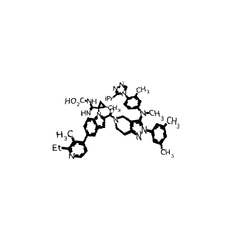 CCc1nccc(-c2ccc3c(c2)cc(C(=O)N2CCc4nn(-c5cc(C)cc(C)c5)c(N(C)c5ccc(-n6cnnc6C(C)C)c(C)c5)c4C2)n3[C@@]2(C(=N)NC(=O)O)C[C@@H]2C)c1C